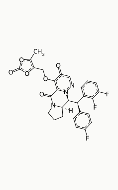 Cc1oc(=O)oc1COc1c2n(ncc1=O)[C@@H]([C@H](c1ccc(F)cc1)c1cccc(F)c1F)[C@H]1CCCN1C2=O